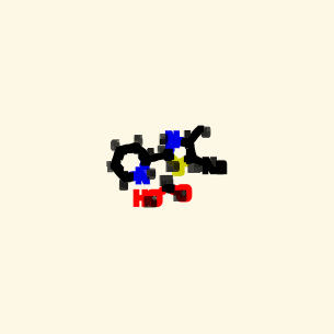 Cc1nc(-c2ccccn2)s[c]1[Na].O=CO